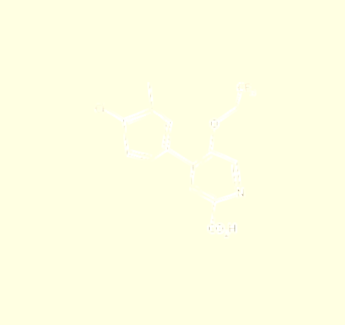 Cc1cc(-c2cc(C(=O)O)ncc2OCC(F)(F)F)ccc1Cl